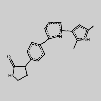 Cc1cc(-c2cccc(-c3ccc(C4CCNC4=O)cc3)n2)c(C)[nH]1